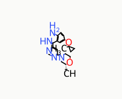 C#C[C@@H]1CN(c2cc(C(=N)c3cc(OC4(C)CC4)ccc3N)ncn2)CCO1